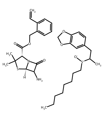 C=Cc1ccccc1COC(=O)[C@@H]1N2C(=O)C(N)[C@H]2SC1(C)C.CCCCCCCC[S+]([O-])C(C)Cc1ccc2c(c1)OCO2